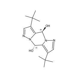 CC(C)(C)c1cnn2c1[C@H](O)n1ncc(C(C)(C)C)c1[C@H]2O